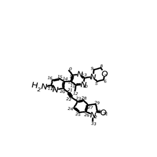 Cc1nc(N2CCOCC2)nc(C)c1-c1ccc(N)nc1C#Cc1ccc2c(c1)CC(=O)N2C